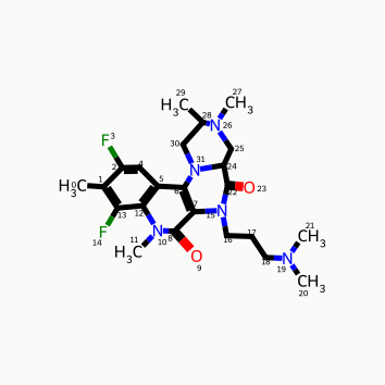 Cc1c(F)cc2c3c(c(=O)n(C)c2c1F)N(CCCN(C)C)C(=O)C1CN(C)C(C)CN31